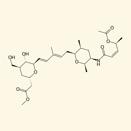 COC(=O)C[C@@H]1C[C@@H](CO)[C@H](O)[C@@H](/C=C/C(C)=C/C[C@@H]2O[C@H](C)[C@H](NC(=O)/C=C\[C@H](C)OC(C)=O)C[C@@H]2C)O1